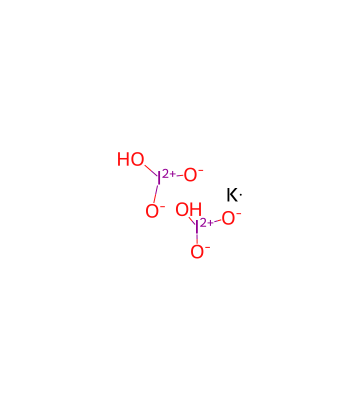 [K].[O-][I+2]([O-])O.[O-][I+2]([O-])O